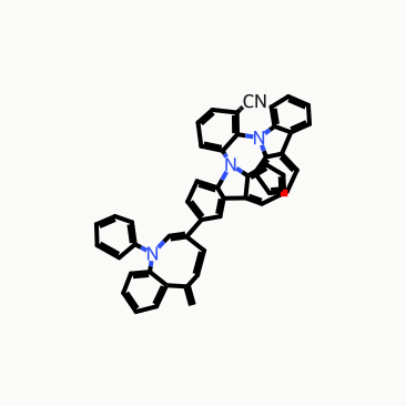 C=C1/C=C\C(c2ccc3c(c2)c2ccccc2n3-c2cccc(C#N)c2-n2c3ccccc3c3ccccc32)=C/N(c2ccccc2)c2ccccc21